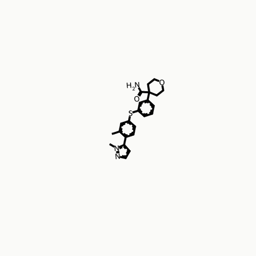 Cc1cc(Sc2cccc(C3(C(N)=O)CCOCC3)c2)ccc1-c1ccnn1C